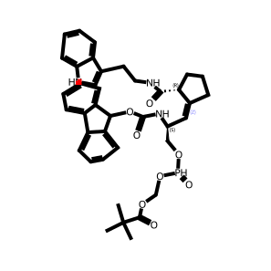 CC(C)(C)C(=O)OCO[PH](=O)OC[C@H](/C=C1/CCC[C@H]1C(=O)NCCc1c[nH]c2ccccc12)NC(=O)OC1c2ccccc2-c2ccccc21